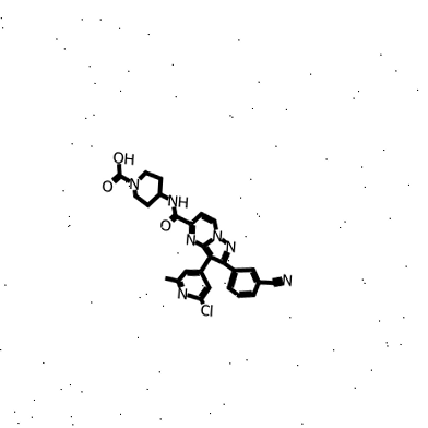 Cc1cc(-c2c(-c3cccc(C#N)c3)nn3ccc(C(=O)NC4CCN(C(=O)O)CC4)nc23)cc(Cl)n1